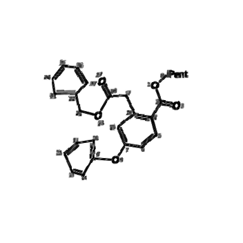 CCCC(C)OC(=O)c1ccc(Oc2ccccc2)cc1CC(=O)OCc1ccccc1